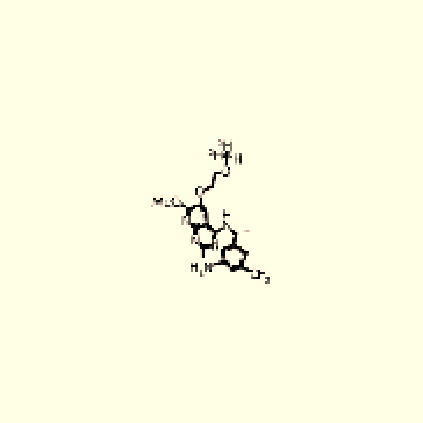 [2H]C([2H])([2H])OCCOc1cc2c(N[C@H](C)c3cc(N)cc(C(F)(F)F)c3)nc(C)nc2nc1OC